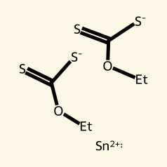 CCOC(=S)[S-].CCOC(=S)[S-].[Sn+2]